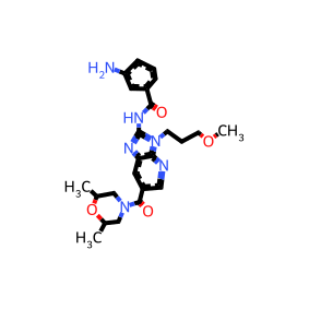 COCCCn1c(NC(=O)c2cccc(N)c2)nc2cc(C(=O)N3CC(C)OC(C)C3)cnc21